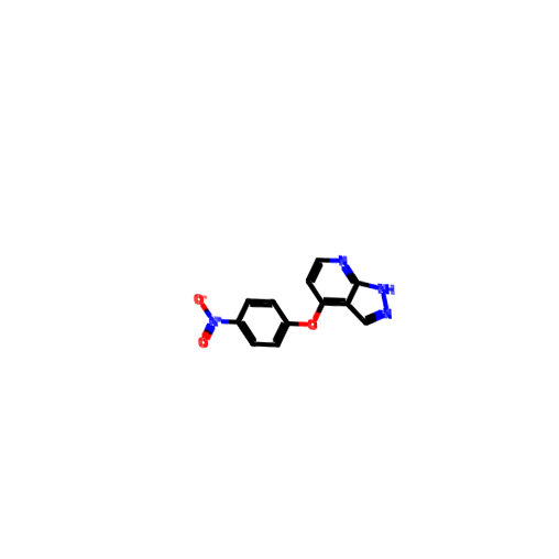 O=[N+]([O-])c1ccc(Oc2ccnc3[nH]ncc23)cc1